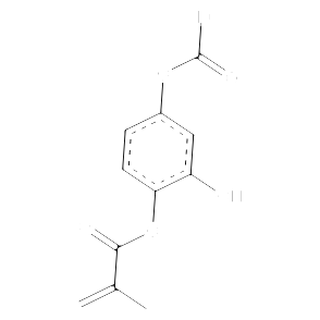 C=C(C)C(=O)Oc1ccc(OC(=O)CC)cc1O